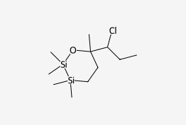 CCC(Cl)C1(C)CC[Si](C)(C)[Si](C)(C)O1